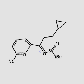 CC(C)(C)[Si](=O)/N=C(\CCC1CC1)c1cccc(C#N)n1